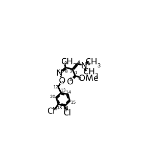 COC(=O)C(=CN(C)C)C(C)=NOCc1ccc(Cl)c(Cl)c1